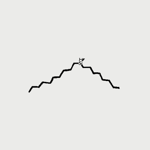 CCCCCCCCCC[SiH](C)CCCCCCCC